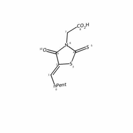 CCCCC/C=C1\SC(=S)N(CC(=O)O)C1=O